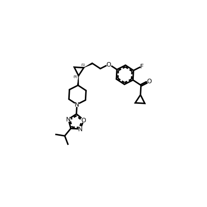 CC(C)c1noc(N2CCC([C@H]3C[C@H]3CCOc3ccc(C(=O)C4CC4)c(F)c3)CC2)n1